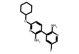 Nc1ncc(F)cc1-c1ccc(OC2CCCCC2)nc1N